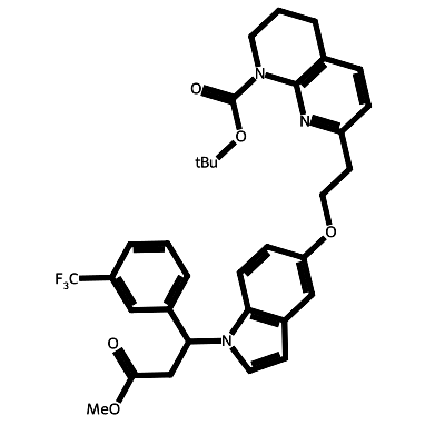 COC(=O)CC(c1cccc(C(F)(F)F)c1)n1ccc2cc(OCCc3ccc4c(n3)N(C(=O)OC(C)(C)C)CCC4)ccc21